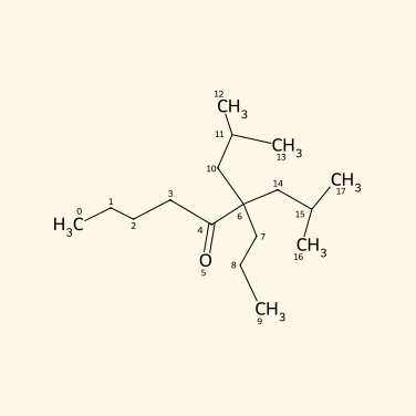 CCCCC(=O)C(CCC)(CC(C)C)CC(C)C